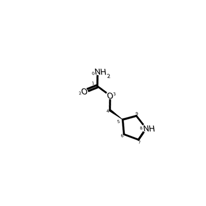 NC(=O)OC[C@@H]1CCNC1